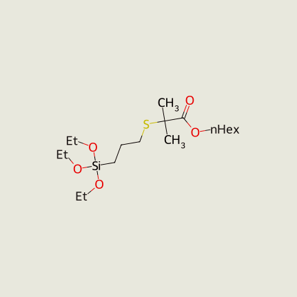 CCCCCCOC(=O)C(C)(C)SCCC[Si](OCC)(OCC)OCC